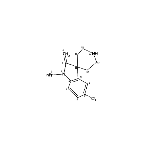 C=C1N(CCC)c2ccc(Cl)cc2C12CCNCC2